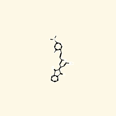 Cc1cc(N(C)C)ccc1C=CC1=CC(=C2C(=O)c3ccccc3C2=O)C=C(C(C)(C)C)O1